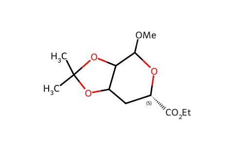 CCOC(=O)[C@@H]1CC2OC(C)(C)OC2C(OC)O1